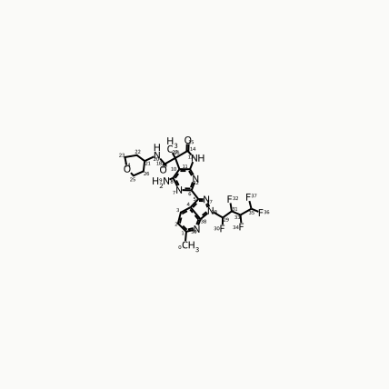 Cc1ccc2c(-c3nc(N)c4c(n3)NC(=O)C4(C)C(=O)NC3CCOCC3)nn(C(F)C(F)C(F)C(F)F)c2n1